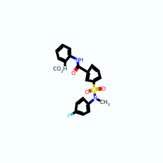 CN(c1ccc(F)cc1)S(=O)(=O)c1cccc(C(=O)Nc2ccccc2C(=O)O)c1